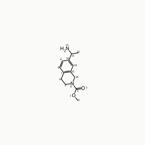 COC(=O)N1CCc2ccc(C(C)N)cc2C1